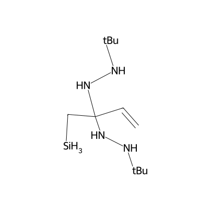 C=CC(C[SiH3])(NNC(C)(C)C)NNC(C)(C)C